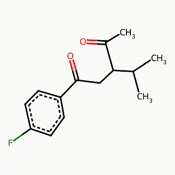 CC(=O)C(CC(=O)c1ccc(F)cc1)C(C)C